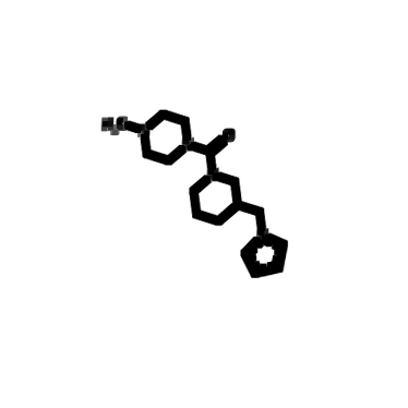 CN1CCN(C(=O)N2CCCC(Cn3cccc3)C2)CC1